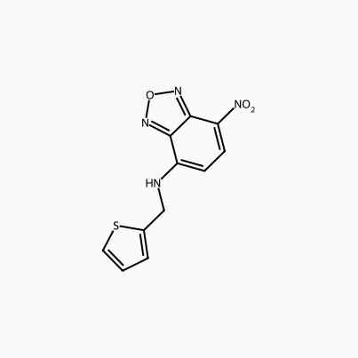 O=[N+]([O-])c1ccc(NCc2cccs2)c2nonc12